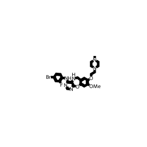 COc1cc2c(cc1OCCN1CCN(C)CC1)CNc1c(Nc3ccc(Br)cc3F)ncnc1O2